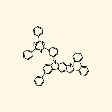 c1ccc(-c2ccc3c(c2)c2cc4cc5c6ccccc6c6ccccc6n5c4cc2n3-c2cccc(-c3nc(-c4ccccc4)nc(-c4ccccc4)n3)c2)cc1